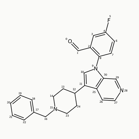 O=Cc1cc(F)ccc1-n1cc(C2CCN(Cc3ccccc3)CC2)c2ccncc21